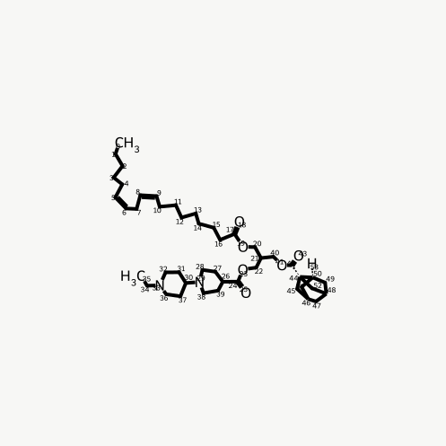 CCCCC/C=C\C/C=C\CCCCCCCC(=O)OCC(COC(=O)C1CCN(C2CCN(CC)CC2)CC1)COC(=O)[C@]12CC3CC(C[C@H]1C3)C2